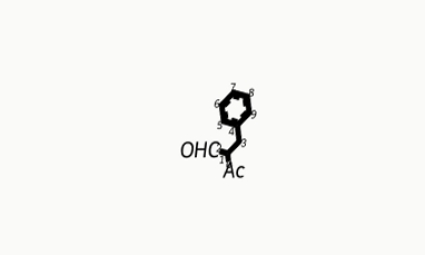 CC(=O)C(C=O)Cc1ccccc1